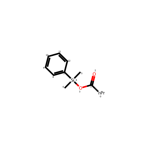 CCCC(=O)O[Si](C)(C)c1ccccc1